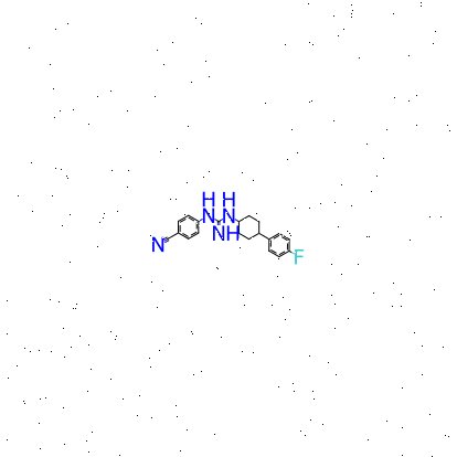 N#Cc1ccc(NC(=N)NC2CCC(c3ccc(F)cc3)CC2)cc1